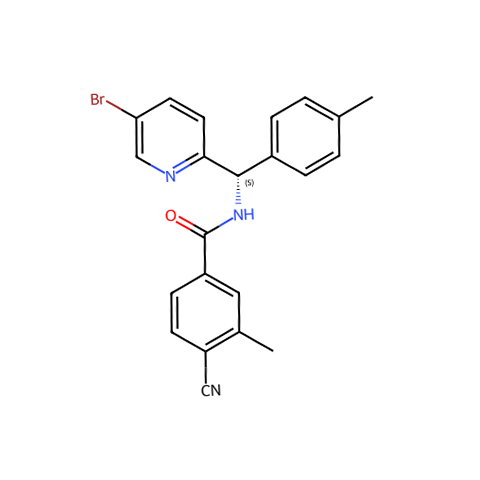 Cc1ccc([C@H](NC(=O)c2ccc(C#N)c(C)c2)c2ccc(Br)cn2)cc1